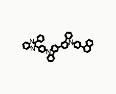 c1ccc(-c2nc3ccccc3nc2-c2ccc(-n3c4ccccc4c4cc(-c5ccc6c(c5)c5ccccc5n6-c5ccc(-c6cccc7ccccc67)cc5)ccc43)cc2)cc1